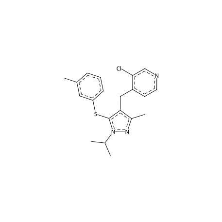 Cc1cccc(Sc2c(Cc3ccncc3Cl)c(C)nn2C(C)C)c1